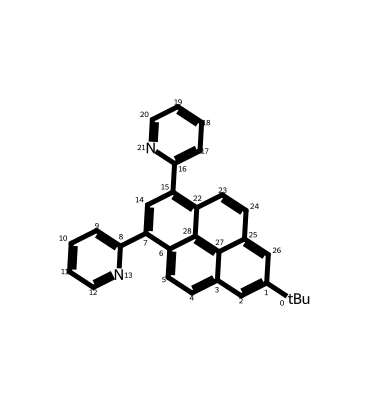 CC(C)(C)c1cc2ccc3c(-c4ccccn4)cc(-c4ccccn4)c4ccc(c1)c2c34